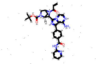 C=CC(=O)N1C2C[C@@H](C1c1nc(-c3ccc(C(=O)Nc4ccccn4)cc3)c3c(N)nccn13)N(C(=O)OC(C)(C)C)C2